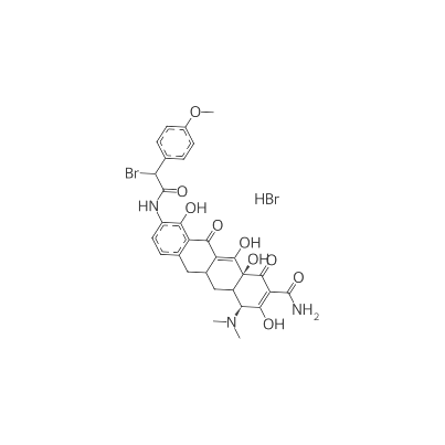 Br.COc1ccc(C(Br)C(=O)Nc2ccc3c(c2O)C(=O)C2=C(O)[C@]4(O)C(=O)C(C(N)=O)=C(O)[C@@H](N(C)C)C4CC2C3)cc1